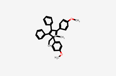 CCC1(c2ccc(OC)cc2)C(c2ccccc2)=C(c2ccccc2)C(c2ccc(OC)cc2)=[Si]1C